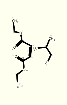 CC(C)CBr.CCOC(=O)/C=C\C(=O)OCC